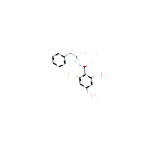 O=C(N[C@@H](Cc1ccccc1)C(=O)O)c1c(O)cc(O)cc1O